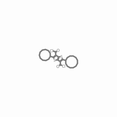 O=C(Cl)c1c(C2CCCCCCCCCCC2)sc2c(C(=O)Cl)c(C3CCCCCCCCCC3)sc12